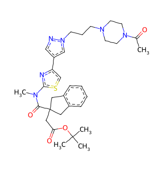 CC(=O)N1CCN(CCCn2cc(-c3csc(N(C)C(=O)C4(CC(=O)OC(C)(C)C)Cc5ccccc5C4)n3)cn2)CC1